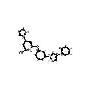 Clc1cc(-n2cccn2)cc(Oc2cccc(-n3cc(-c4ccccc4)cn3)c2)n1